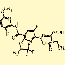 CCN(C=O)/C(CO)=N\N(C)c1nc(O[C@@H](C)C(F)(F)F)c(C(=O)Nc2nc(OC)ccc2F)cc1F